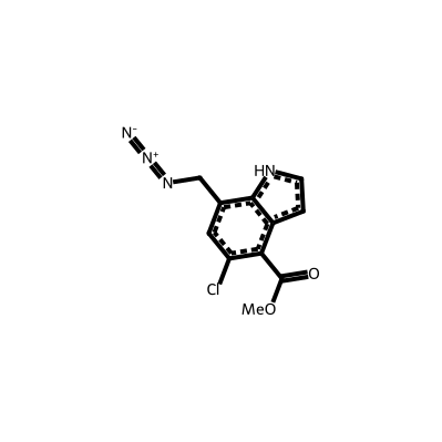 COC(=O)c1c(Cl)cc(CN=[N+]=[N-])c2[nH]ccc12